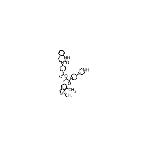 Cc1cc(C[C@@H](OC(=O)N2CCC(N3CCc4ccccc4NC3=O)CC2)C(=O)N2CCC(N3CCNCC3)CC2)cc2cnn(C)c12